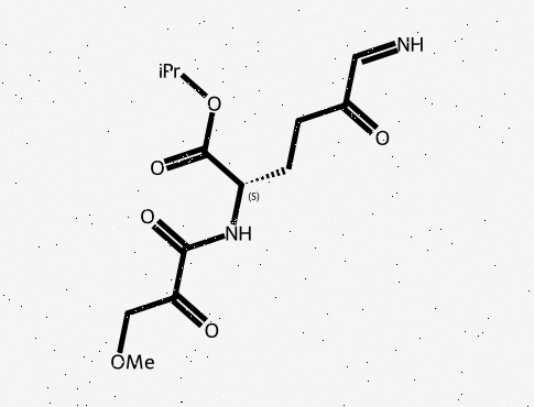 COCC(=O)C(=O)N[C@@H](CCC(=O)C=N)C(=O)OC(C)C